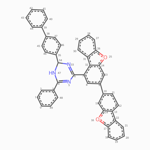 c1ccc(C2=NC(c3cc(-c4ccc5c(c4)oc4ccccc45)cc4oc5ccccc5c34)=NC(c3ccc(-c4ccccc4)cc3)N2)cc1